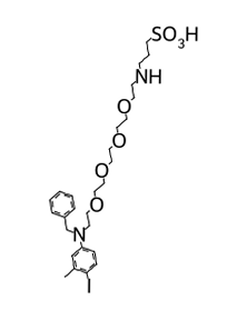 Cc1cc(N(CCOCCOCCOCCOCCNCCCS(=O)(=O)O)Cc2ccccc2)ccc1I